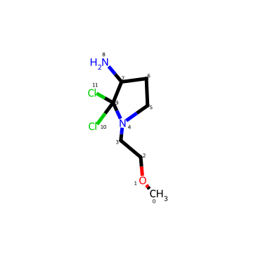 COCCN1CCC(N)C1(Cl)Cl